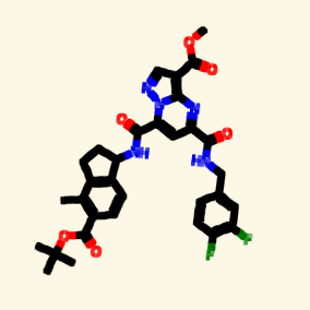 COC(=O)c1cnn2c(C(=O)NC3CCc4c3ccc(C(=O)OC(C)(C)C)c4C)cc(C(=O)NCc3ccc(F)c(F)c3)nc12